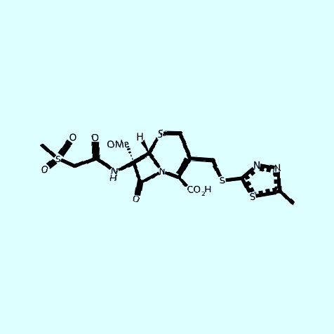 CO[C@@]1(NC(=O)CS(C)(=O)=O)C(=O)N2C(C(=O)O)=C(CSc3nnc(C)s3)CS[C@H]21